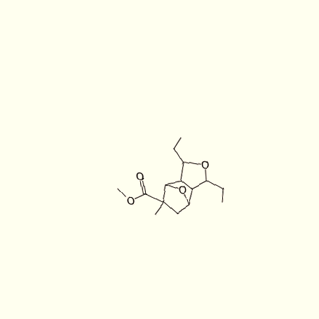 CCC1OC(CC)C2C1C1CC(C)(C(=O)OC)C2O1